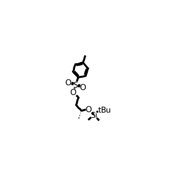 Cc1ccc(S(=O)(=O)OCC[C@@H](C)O[Si](C)(C)C(C)(C)C)cc1